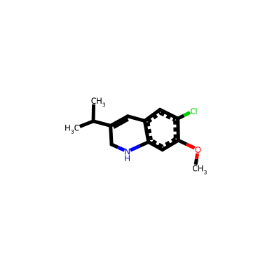 COc1cc2c(cc1Cl)C=C(C(C)C)CN2